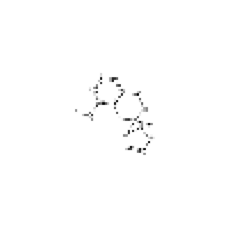 COc1cccc2c1CC1(CC2)CC2C=CC1C2